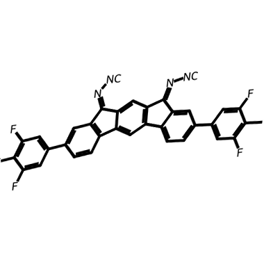 [C-]#[N+]/N=c1/c2cc(-c3cc(F)c(C(F)(F)F)c(F)c3)ccc2c2cc3c(cc12)/c(=N/[N+]#[C-])c1cc(-c2cc(F)c(C)c(F)c2)ccc13